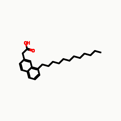 CCCCCCCCCCCCc1cccc2ccc(CC(=O)O)cc12